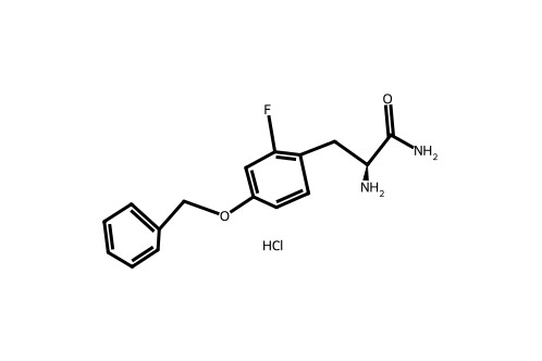 Cl.NC(=O)[C@@H](N)Cc1ccc(OCc2ccccc2)cc1F